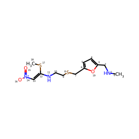 CNCc1ccc(CSCCNC(=C[N+](=O)[O-])SC)o1